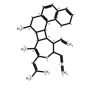 C=C=CC1SC(C=C(C)C)=C(C)C2C3C(C)Cc4ccc5c(c4C3C2C1C=C)CCC=C5